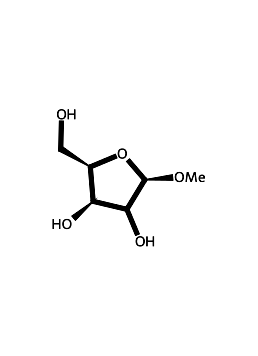 CO[C@@H]1O[C@H](CO)[C@H](O)C1O